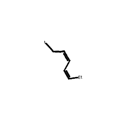 CC/C=C\C=C/CI